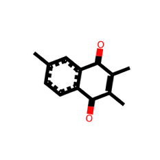 CC1=C(C)C(=O)c2cc(C)ccc2C1=O